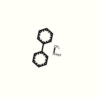 CCCCCCCC.c1ccc(-c2ccccc2)cc1